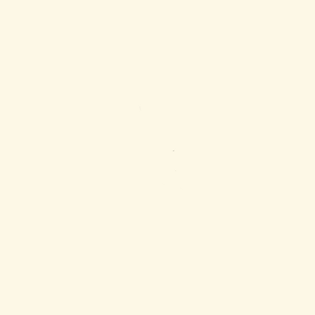 CC1(C)C2C(O)CCC3C(O)CCC3(C)C21C